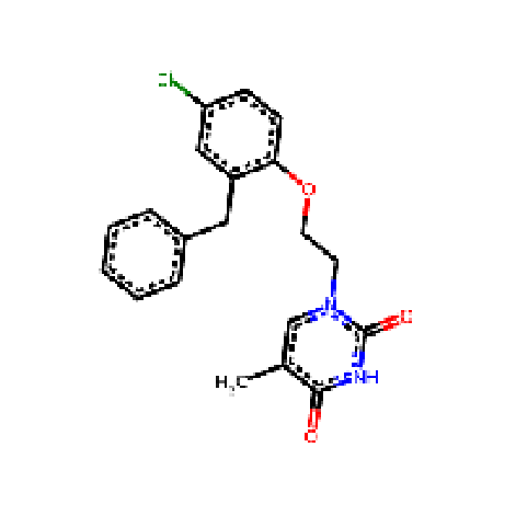 Cc1cn(CCOc2ccc(Cl)cc2Cc2ccccc2)c(=O)[nH]c1=O